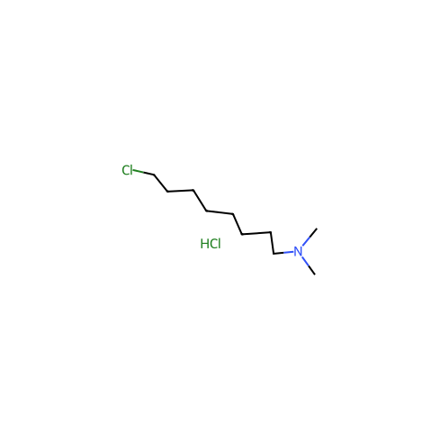 CN(C)CCCCCCCCCl.Cl